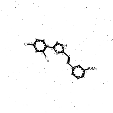 COc1cccc(C=Cc2nc(-c3ccc(Cl)cc3Cl)c[nH]2)c1